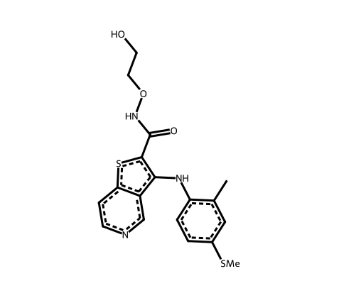 CSc1ccc(Nc2c(C(=O)NOCCO)sc3ccncc23)c(C)c1